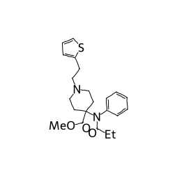 CCC(=O)N(c1ccccc1)C1(C(=O)OC)CCN(CCc2cccs2)CC1